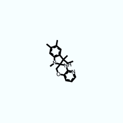 CCC1(C)c2cc(C)c(C)cc2N(C)C12COc1cccnc1N2